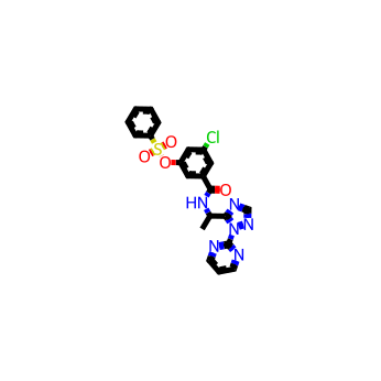 CC(NC(=O)c1cc(Cl)cc(OS(=O)(=O)c2ccccc2)c1)c1ncnn1-c1ncccn1